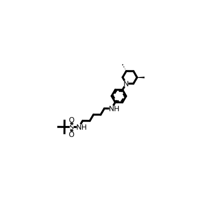 C[C@@H]1C[C@@H](C)CN(c2ccc(NCCCCCNS(=O)(=O)C(C)(C)C)cc2)C1